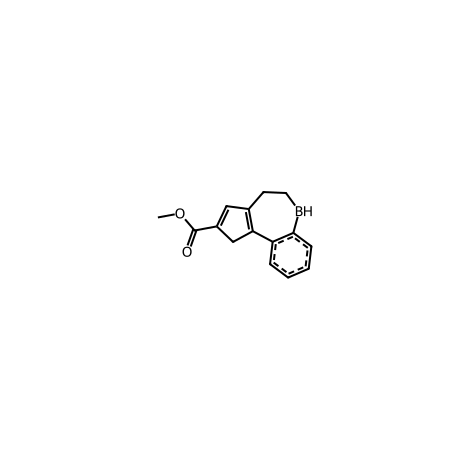 COC(=O)C1=CC2=C(C1)c1ccccc1BCC2